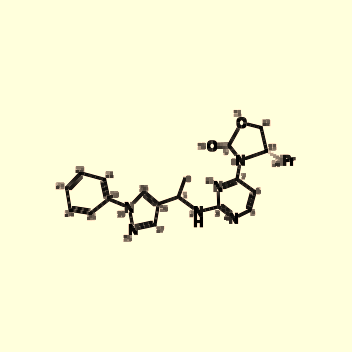 CC(Nc1nccc(N2C(=O)OC[C@@H]2C(C)C)n1)c1cnn(-c2ccccc2)c1